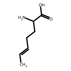 CC=CCCC(N)C(=O)O